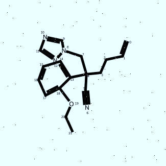 C=CCCC(C#N)(Cn1cncn1)c1ccccc1OCC